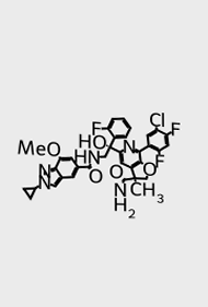 COc1cc(C(=O)NC[C@](O)(c2cc3c(c(-c4cc(Cl)c(F)cc4F)n2)OC[C@]3(C)C(N)=O)c2ccccc2F)cc2cn(C3CC3)nc12